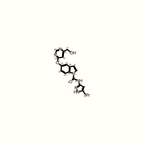 CC(C)c1cc(NC(=O)n2ccc3cc(Oc4cc(CO)ncn4)ccc32)n[nH]1